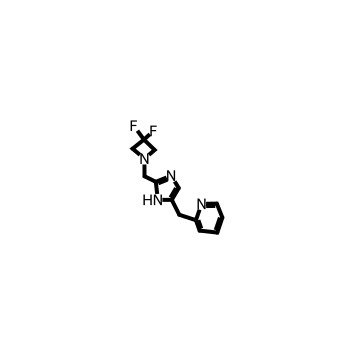 FC1(F)CN(Cc2ncc(Cc3ccccn3)[nH]2)C1